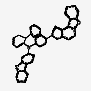 C1=CCC(c2ccccc2)C(N(c2ccc(-c3ccc4c(ccc5oc6ccccc6c54)c3)cc2)c2ccc3c(c2)sc2ccccc23)=C1